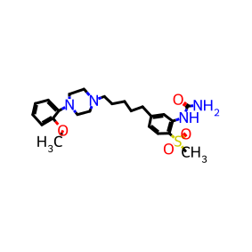 COc1ccccc1N1CCN(CCCCCc2ccc(S(C)(=O)=O)c(NC(N)=O)c2)CC1